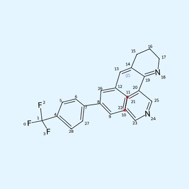 FC(F)(F)c1ccc(-c2cccc(/C=C3/CCCN=C3c3cccnc3)c2)cc1